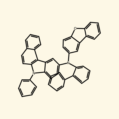 c1ccc(-c2ccccc2N(c2ccc3oc4ccccc4c3c2)c2ccc3c(c2)c2c4ccccc4ccc2n3-c2ccccc2)cc1